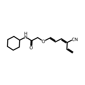 C=C/C(C#N)=C\C=C\OCC(=O)NC1CCCCC1